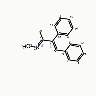 CC(=N\O)/C(=C/c1ccccc1)c1ccccc1